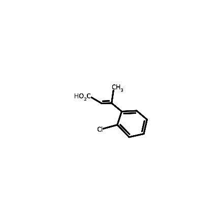 CC(=CC(=O)O)c1ccccc1Cl